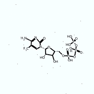 Nc1nc(=O)n([C@@H]2O[C@H](COP(=O)(O)OP(=O)(O)OP(=O)(O)O)C(O)[C@@H]2O)cc1C(F)(F)F